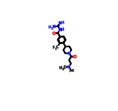 CC(=O)N(C)CCC(=O)N1CCC(c2ccc(C(=O)NC(=N)N)cc2C(F)(F)F)CC1